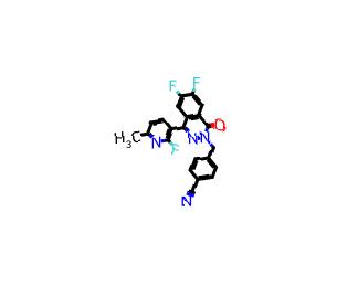 Cc1ccc(-c2nn(Cc3ccc(C#N)cc3)c(=O)c3cc(F)c(F)cc23)c(F)n1